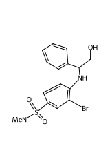 CNS(=O)(=O)c1ccc(NC(CO)c2ccccc2)c(Br)c1